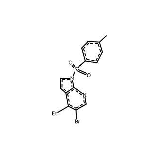 CCc1c(Br)cnc2c1ccn2S(=O)(=O)c1ccc(C)cc1